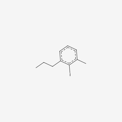 CCCc1cccc(C)c1I